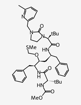 COC(=O)N[C@H](C(=O)N[C@@H](Cc1ccccc1)[C@H](C[C@H](Cc1ccccc1)NC(=O)[C@@H](N1CCN(Cc2cccc(C)n2)C1=O)C(C)(C)C)OCSC)C(C)(C)C